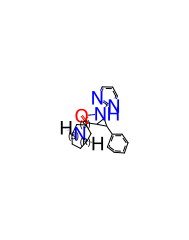 O=C(C1CC1c1ccccc1)N1[C@@H]2CC[C@H]1C[C@H](CNc1ncccn1)C2